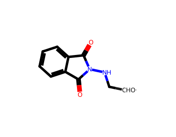 O=[C]CNN1C(=O)c2ccccc2C1=O